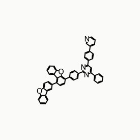 c1ccc(-c2cc(-c3ccc(-c4cccnc4)cc3)nc(-c3ccc(-c4ccc(-c5ccc6oc7ccccc7c6c5)c5c4oc4ccccc45)cc3)n2)cc1